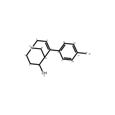 OC1CCN2CC=C(c3ccc(F)cc3)C1C2